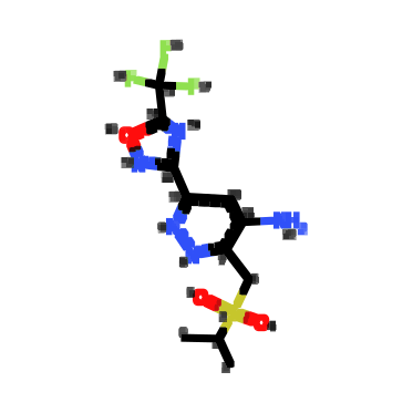 CC(C)S(=O)(=O)Cc1nnc(-c2noc(C(F)(F)F)n2)cc1N